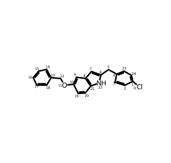 Clc1ccc(Cc2cc3cc(OCc4ccccc4)ccc3[nH]2)cc1